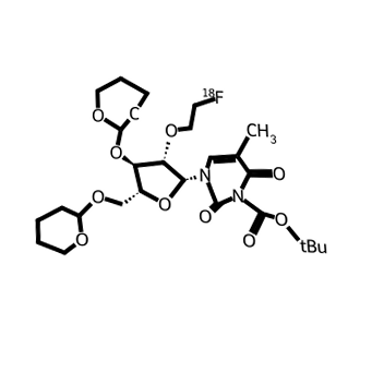 Cc1cn([C@@H]2O[C@H](COC3CCCCO3)[C@@H](OC3CCCCO3)[C@@H]2OCC[18F])c(=O)n(C(=O)OC(C)(C)C)c1=O